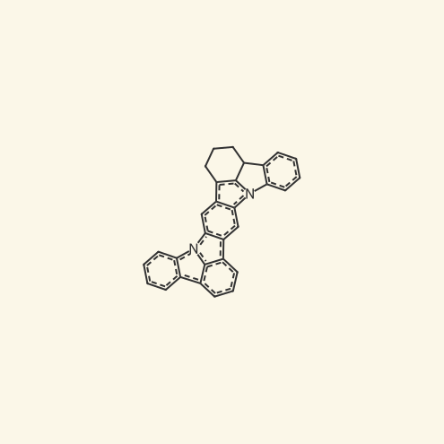 c1ccc2c(c1)C1CCCc3c1n-2c1cc2c4cccc5c6ccccc6n(c2cc31)c54